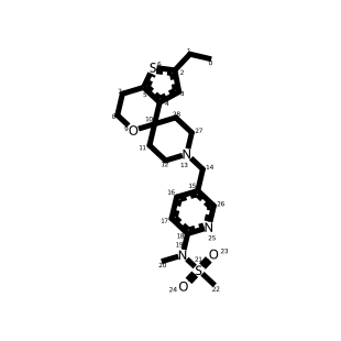 CCc1cc2c(s1)CCOC21CCN(Cc2ccc(N(C)S(C)(=O)=O)nc2)CC1